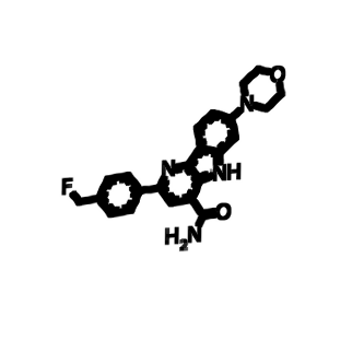 NC(=O)c1cc(-c2ccc(CF)cc2)nc2c1[nH]c1cc(N3CCOCC3)ccc12